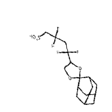 O=S(=O)(O)CC(F)(F)CC(F)(F)C1COC2(O1)C1CC3CC(C1)CC2C3